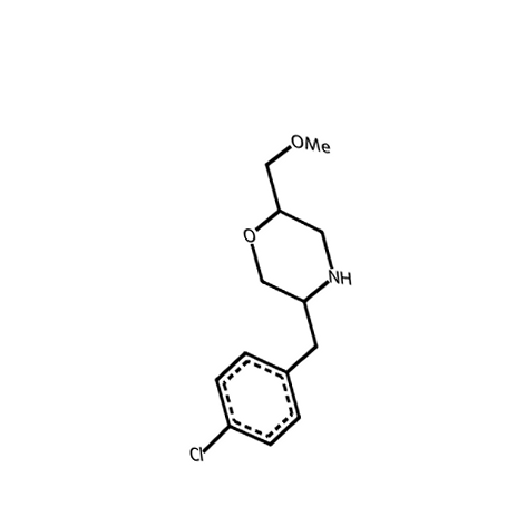 COCC1CNC(Cc2ccc(Cl)cc2)CO1